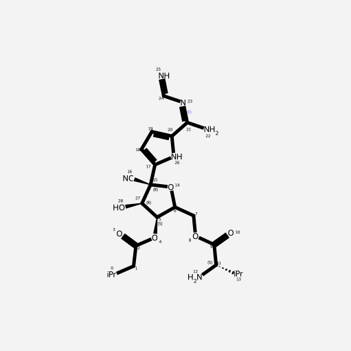 CC(C)CC(=O)O[C@@H]1C(COC(=O)[C@@H](N)C(C)C)O[C@@](C#N)(c2ccc(/C(N)=N\C=N)[nH]2)[C@@H]1O